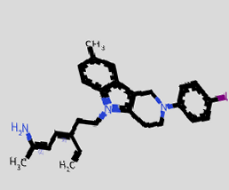 C=C/C(=C\C=C(\C)N)CCn1c2c(c3cc(C)ccc31)CN(c1ccc(I)cc1)CC2